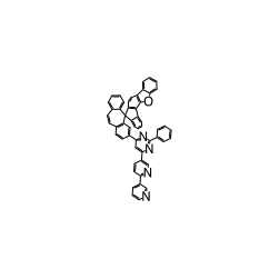 C1=Cc2ccc(-c3cc(-c4ccc(-c5cccnc5)nc4)nc(-c4ccccc4)n3)cc2C2(c3ccccc31)c1ccccc1-c1c2ccc2c1oc1ccccc12